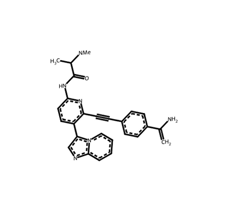 C=C(N)c1ccc(C#Cc2nc(NC(=O)C(C)NC)ccc2-c2cnc3ccccn23)cc1